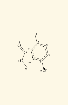 COC=O.Cc1ccc(Br)nc1